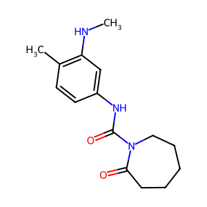 CNc1cc(NC(=O)N2CCCCCC2=O)ccc1C